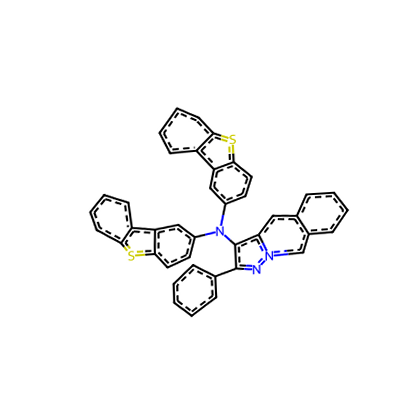 c1ccc(-c2nn3cc4ccccc4cc3c2N(c2ccc3sc4ccccc4c3c2)c2ccc3sc4ccccc4c3c2)cc1